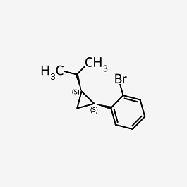 CC(C)[C@@H]1C[C@@H]1c1ccccc1Br